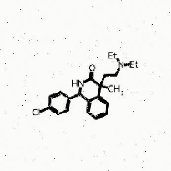 CCN(CC)CCC1(C)C(=O)NC(c2ccc(Cl)cc2)c2ccccc21